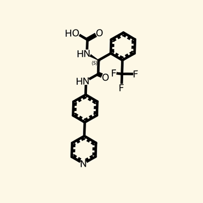 O=C(O)N[C@H](C(=O)Nc1ccc(-c2ccncc2)cc1)c1ccccc1C(F)(F)F